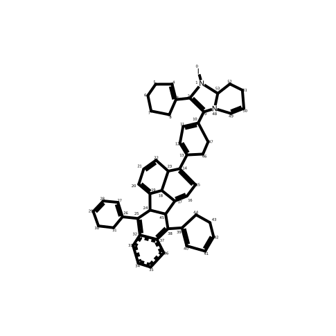 IN1C(C2=CCCCC2)=C(C2=CC=C(C3=CC=C4C5C(=CC=CC35)C3C(C5=CC=CCC5)=c5ccccc5=C(C5=CC=CCC5)C43)CC2)N2C=CCCC12